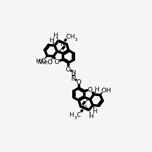 CO[C@@]12Oc3c(ON=NOc4ccc5c6c4O[C@H]4[C@@H](O)C=C[C@H]7[C@@H](C5)N(C)CC[C@@]674)ccc4c3[C@@]13CCN(C)[C@H](C4)[C@@H]3C=C[C@@H]2O